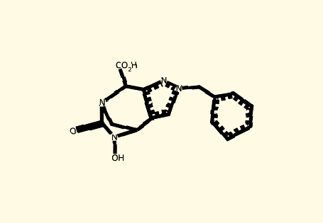 O=C(O)C1c2nn(Cc3ccccc3)cc2C2CN1C(=O)N2O